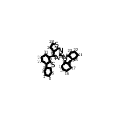 c1ccc2c(c1)sc1c(-c3nc(-n4c5ccccc5c5ccccc54)nc4sccc34)cccc12